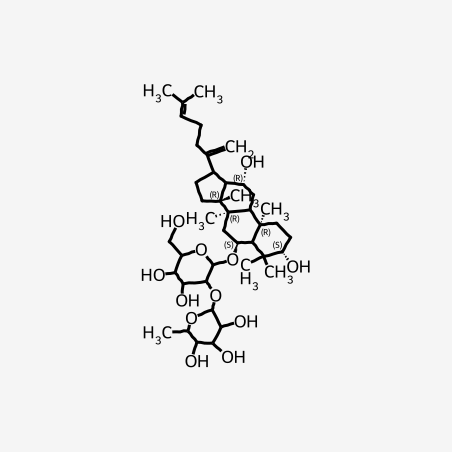 C=C(CCC=C(C)C)C1CC[C@]2(C)C1[C@H](O)CC1[C@@]3(C)CC[C@H](O)C(C)(C)C3[C@@H](OC3OC(CO)C(O)C(O)C3OC3OC(C)C(O)C(O)C3O)C[C@]12C